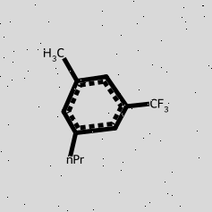 C[CH]Cc1cc(C)cc(C(F)(F)F)c1